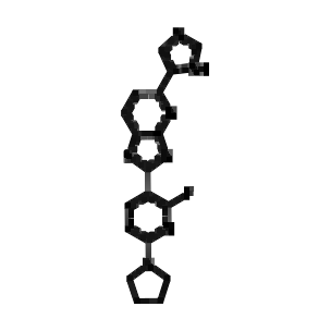 Fc1nc(N2CCCC2)ccc1-c1nc2nc(-c3cnc[nH]3)ccc2s1